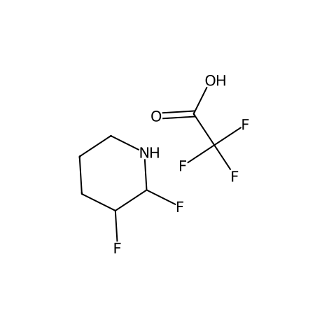 FC1CCCNC1F.O=C(O)C(F)(F)F